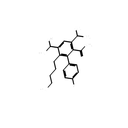 CCCCCc1c(C(C)C)cc(C(C)C)c(C(C)=O)c1-c1ccc(F)cc1